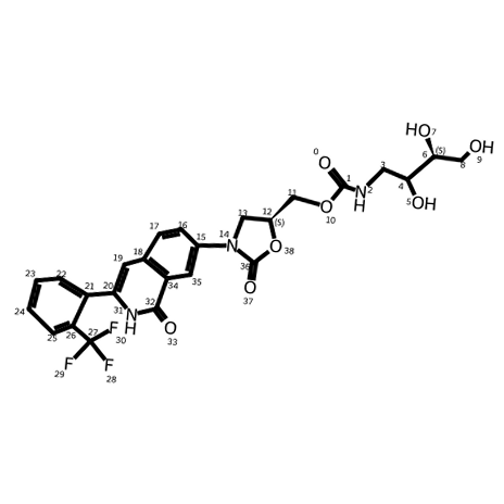 O=C(NCC(O)[C@@H](O)CO)OC[C@@H]1CN(c2ccc3cc(-c4ccccc4C(F)(F)F)[nH]c(=O)c3c2)C(=O)O1